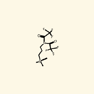 C[Si](C)(C)CCCN(C(=O)C(F)(F)F)C(=O)C(F)(F)F